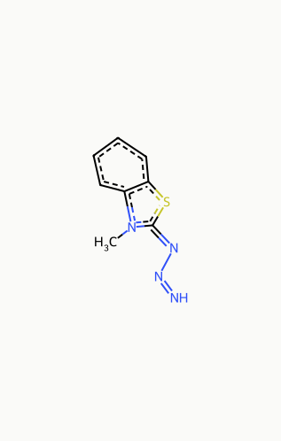 Cn1c(=NN=N)sc2ccccc21